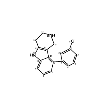 Clc1cccc(-c2cccc3[nH]c4c(c23)CNCC4)c1